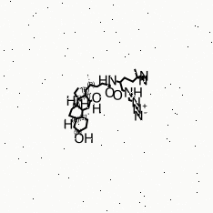 C[C@H](CCC(=O)NC(CCC1(C)N=N1)C(=O)NCN=[N+]=[N-])[C@H]1CC[C@H]2[C@@H]3CC[C@@H]4C[C@H](O)CC[C@]4(C)C3CC(O)[C@]12C